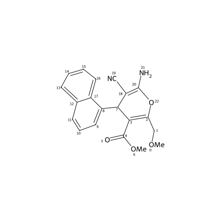 COCC1=C(C(=O)OC)C(c2cccc3ccccc23)C(C#N)=C(N)O1